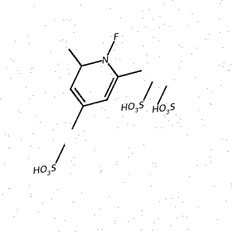 CC1=CC(C)N(F)C(C)=C1.CS(=O)(=O)O.CS(=O)(=O)O.CS(=O)(=O)O